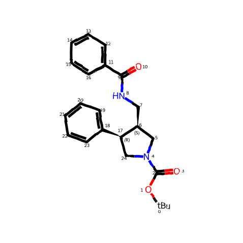 CC(C)(C)OC(=O)N1C[C@H](CNC(=O)c2ccccc2)[C@H](c2ccccc2)C1